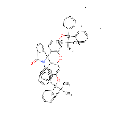 CC(C)(C)[Si](Oc1ccc2c(c1)Oc1cc(O[Si](c3ccccc3)(c3ccccc3)C(C)(C)C)ccc1C21c2ccccc2C(=O)N1c1ccccc1)(c1ccccc1)c1ccccc1